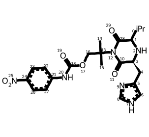 CC(C)C1N[C@@H](Cc2c[nH]cn2)C(=O)N(C(C)(C)COC(=O)Nc2ccc([N+](=O)[O-])cc2)C1=O